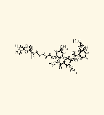 COc1cc(C(=O)N(C)c2ccc(C)cc2OCCCCCNC(=O)OC(C)(C)C)ccc1NC(=O)c1cccc2[nH]c(C)nc12